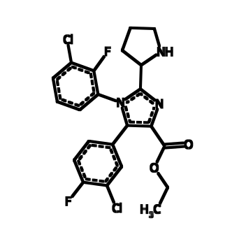 CCOC(=O)c1nc(C2CCCN2)n(-c2cccc(Cl)c2F)c1-c1ccc(F)c(Cl)c1